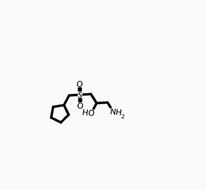 NCC(O)CS(=O)(=O)CC1CCCC1